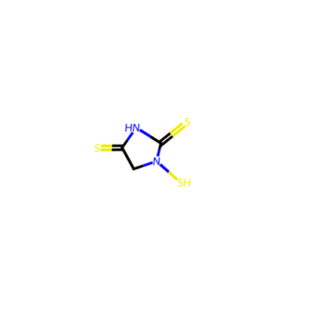 S=C1CN(S)C(=S)N1